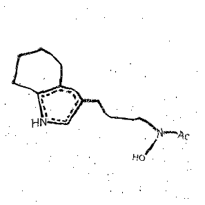 CC(=O)N(O)CCCc1c[nH]c2c1CCCC2